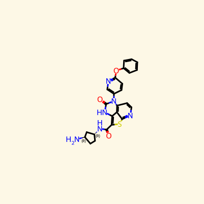 N[C@@H]1CC[C@@H](NC(=O)c2sc3nccc4c3c2NC(=O)N4c2ccc(Oc3ccccc3)nc2)C1